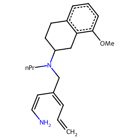 C=C/C=C(\C=C/N)CN(CCC)C1CCc2cccc(OC)c2C1